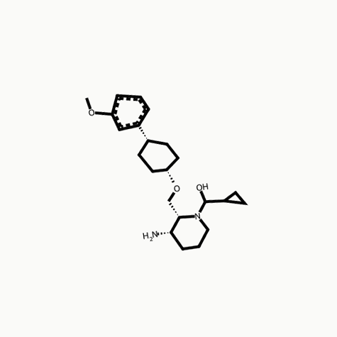 COc1cccc([C@H]2CC[C@@H](OC[C@H]3[C@@H](N)CCCN3C(O)C3CC3)CC2)c1